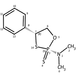 CN(C)[P@@]1(=S)OC[C@@H](c2ccccc2)S1